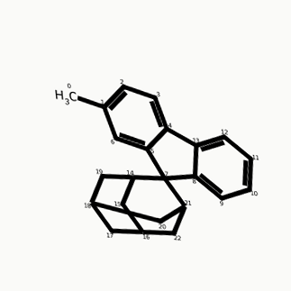 Cc1ccc2c(c1)C1(c3ccccc3-2)C2CC3CC(C2)CC1C3